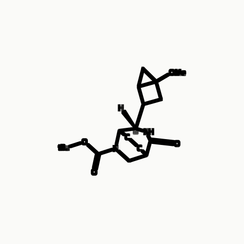 COC12CC([C@@H]3NC(=O)C4CCC3N(C(=O)OC(C)(C)C)C4)C1C2